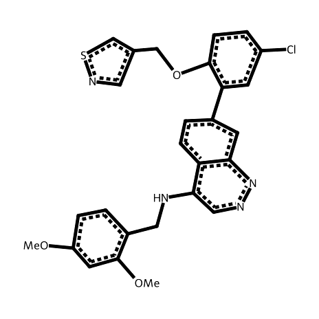 COc1ccc(CNc2cnnc3cc(-c4cc(Cl)ccc4OCc4cnsc4)ccc23)c(OC)c1